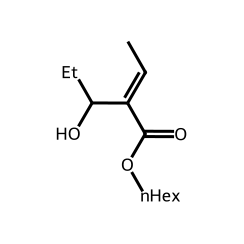 CC=C(C(=O)OCCCCCC)C(O)CC